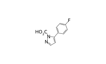 O=C(O)n1nccc1-c1ccc(F)cc1